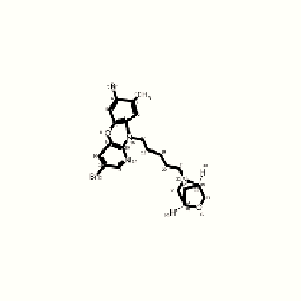 Cc1cc2c(cc1Br)Oc1cc(Br)cnc1N2CCCCCN1C[C@H]2C[C@@H]1CO2